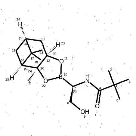 CC(C)(C)C(=O)N[C@@H](CO)B1O[C@@H]2C[C@@H]3C[C@@H](C3(C)C)[C@]2(C)O1